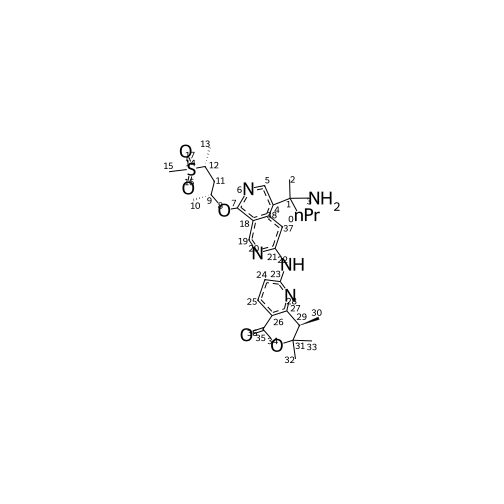 CCCC(C)(N)c1cnc(O[C@H](C)C[C@@H](C)S(C)(=O)=O)c2cnc(Nc3ccc4c(n3)[C@@H](C)C(C)(C)OC4=O)cc12